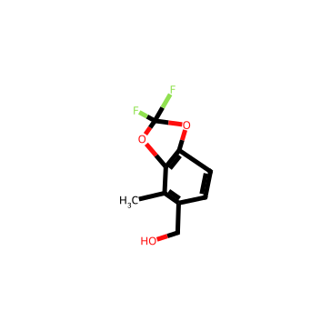 Cc1c(CO)ccc2c1OC(F)(F)O2